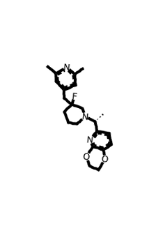 Cc1cc(CC2(F)CCCN([C@H](C)c3ccc4c(n3)OCCO4)C2)cc(C)n1